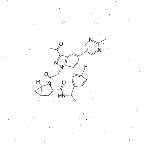 CC(=O)c1nn(CC(=O)N2[C@H](C(=O)NC(C)c3ccc(F)cc3)C[C@@]3(C)C[C@@H]23)c2ccc(-c3cnc(C)nc3)cc12